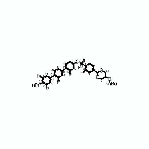 CCCCOC1COC(c2ccc(C(F)(F)Oc3ccc(-c4ccc(-c5cc(F)c(CCC)c(F)c5)c(F)c4)c(F)c3)c(F)c2)OC1